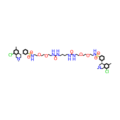 Cc1cc(Cl)c2c(c1)[C@H](c1cccc(S(=O)(=O)NCCOCCOCCNC(=O)NCCCCNC(=O)NCCOCCOCCNS(=O)(=O)c3cccc([C@@H]4CN(C)Cc5c(Cl)cc(C)cc54)c3)c1)CN(C)C2